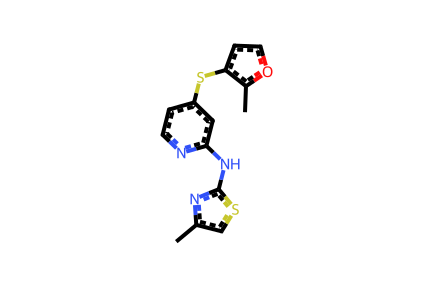 Cc1csc(Nc2cc(Sc3ccoc3C)ccn2)n1